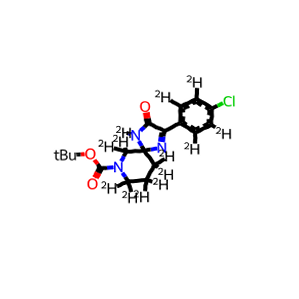 [2H]c1c([2H])c(C2=NC3(N([2H])C2=O)C([2H])([2H])N(C(=O)OC(C)(C)C)C([2H])([2H])C([2H])([2H])C3([2H])[2H])c([2H])c([2H])c1Cl